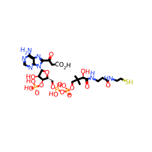 CC(C)(COP(=O)(O)OP(=O)(O)OC[C@H]1O[C@@H](n2c(C(=O)CC(=O)O)nc3c(N)ncnc32)[C@H](O)[C@@H]1OP(=O)(O)O)[C@@H](O)C(=O)NCCC(=O)NCCS